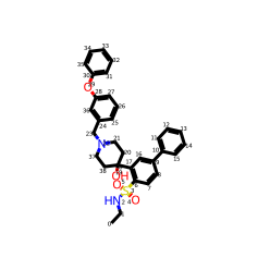 CCNS(=O)(=O)c1ccc(-c2ccccc2)cc1C1(O)CCN(Cc2cccc(Oc3ccccc3)c2)CC1